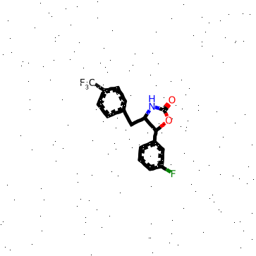 O=C1NC(Cc2ccc(C(F)(F)F)cc2)C(c2cccc(F)c2)O1